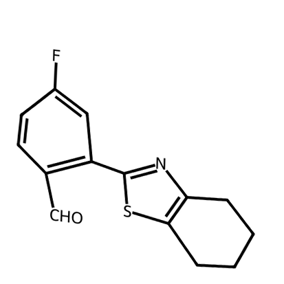 O=Cc1ccc(F)cc1-c1nc2c(s1)CCCC2